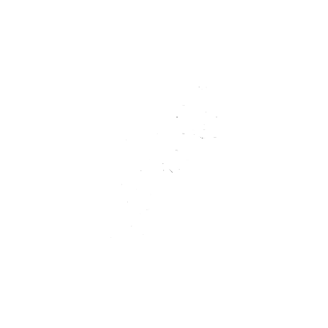 CCC(C)(C)CC[C@](C)(CC)CC[C@]1(C)C(C)C(=O)CC2[C@@]3(C)Cc4cnoc4C(C)(C)[C@@H]3CC[C@]21C